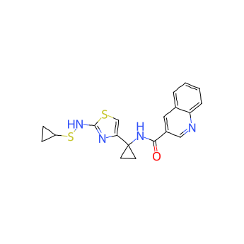 O=C(NC1(c2csc(NSC3CC3)n2)CC1)c1cnc2ccccc2c1